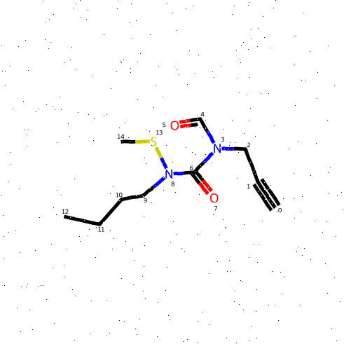 C#CCN(C=O)C(=O)N(CCCC)SC